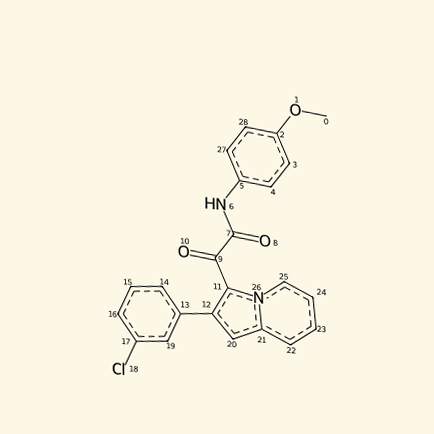 COc1ccc(NC(=O)C(=O)c2c(-c3cccc(Cl)c3)cc3ccccn23)cc1